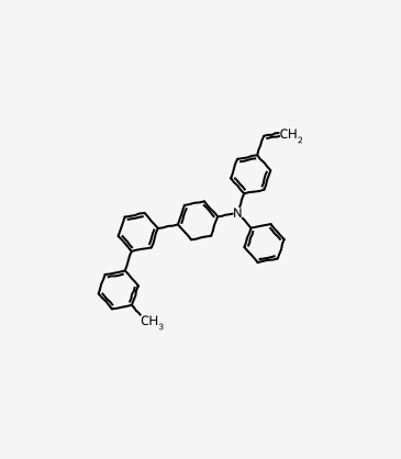 C=Cc1ccc(N(C2=CC=C(c3cccc(-c4cccc(C)c4)c3)CC2)c2ccccc2)cc1